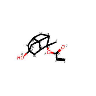 C=CC(=O)OC1(C)C2CC3CC1CC(O)(C3)C2